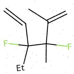 C=CC(F)(CC)C(C)(F)C(=C)C